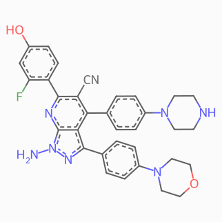 N#Cc1c(-c2ccc(O)cc2F)nc2c(c(-c3ccc(N4CCOCC4)cc3)nn2N)c1-c1ccc(N2CCNCC2)cc1